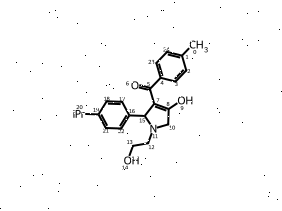 Cc1ccc(C(=O)C2=C(O)CN(CCO)C2c2ccc(C(C)C)cc2)cc1